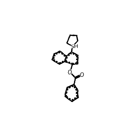 O=C(Oc1ccc([SH]2CCCC2)c2ccccc12)c1ccccc1